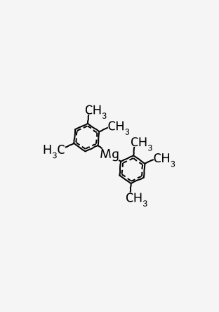 Cc1cc(C)c(C)[c]([Mg][c]2cc(C)cc(C)c2C)c1